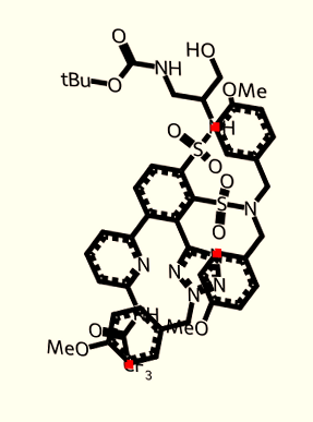 COc1ccc(CN(Cc2ccc(OC)cc2)S(=O)(=O)c2c(S(=O)(=O)NC(CO)CNC(=O)OC(C)(C)C)ccc(-c3cccc(NC(=O)C(F)(F)F)n3)c2-c2nnn(Cc3ccc(OC)cc3)n2)cc1